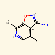 Cc1cnc(C(C)(C)C)c2onc(N)c12